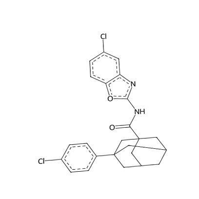 O=C(Nc1nc2cc(Cl)ccc2o1)C12CC3CC(C1)CC(c1ccc(Cl)cc1)(C3)C2